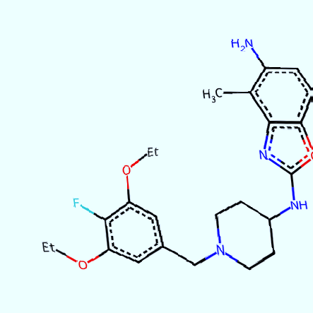 CCOc1cc(CN2CCC(Nc3nc4c(C)c(N)ccc4o3)CC2)cc(OCC)c1F